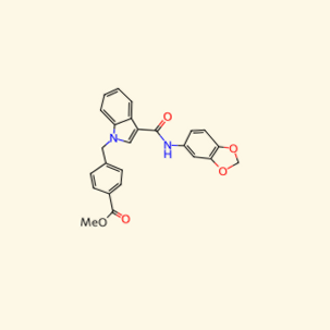 COC(=O)c1ccc(Cn2cc(C(=O)Nc3ccc4c(c3)OCO4)c3ccccc32)cc1